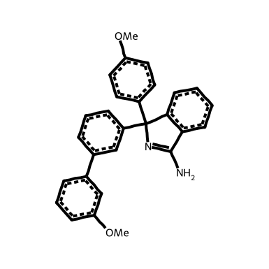 COc1ccc(C2(c3cccc(-c4cccc(OC)c4)c3)N=C(N)c3ccccc32)cc1